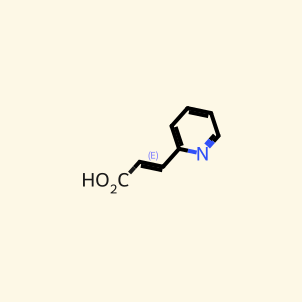 O=C(O)/C=C/c1ccccn1